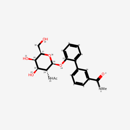 CNC(=O)c1cccc(-c2ccccc2O[C@@H]2O[C@H](CO)[C@H](O)[C@H](O)[C@H]2NC(C)=O)c1